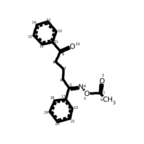 CC(=O)ON=C(CCCC(=O)c1ccccc1)c1ccccc1